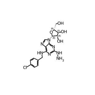 NNc1nc(NCc2ccc(Cl)cc2)c2ncn([C@@H]3O[C@H](CO)[C@@H](O)[C@H]3O)c2n1